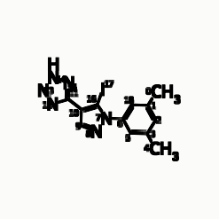 Cc1cc(C)cc(-n2ncc(-c3nn[nH]n3)c2I)c1